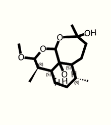 COC1OC2OC(C)(O)CC[C@H]3[C@H](C)CC[C@@H]([C@H]1C)C23O